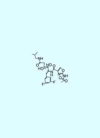 CC(C)CNC(=O)C[C@@H](O)[C@H](O)[C@H](Cc1cc(F)cc(F)c1)NC(=O)c1coc(NS(C)(=O)=O)n1